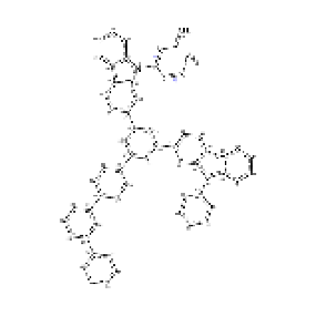 C=C/C=C(\C=C/C)n1c2ccccc2c2ccc(-c3nc(-c4ccc(-c5cccc(-c6ccccc6)c5)cc4)nc(-c4ccc5c6ccccc6n(-c6ccccc6)c5c4)n3)cc21